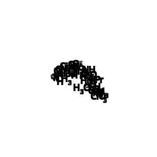 CCC(C)C(NC(=O)C1CCCCN1C)C(=O)N(C)C/C=C(\C)C(=O)N[S+]([O-])c1ccc(NC(=O)CNC(=O)C(NC(=O)CC(C)(C)COCC(C)(C)CN2C(=O)C=CC2=O)C(C)C)cc1